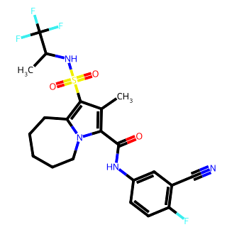 Cc1c(S(=O)(=O)NC(C)C(F)(F)F)c2n(c1C(=O)Nc1ccc(F)c(C#N)c1)CCCCC2